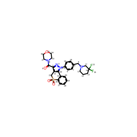 O=C(c1nn(-c2ccc(CN3CCCC(F)(F)C3)cc2)c2c1CS(=O)(=O)c1ccccc1-2)N1CCOCC1